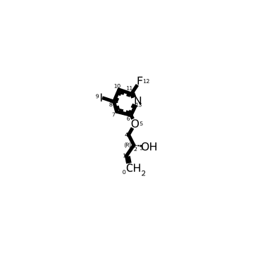 C=C[C@@H](O)COc1cc(I)cc(F)n1